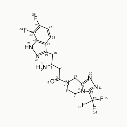 NC(CC(=O)N1CCn2c(nnc2C(F)(F)F)C1)Cc1n[nH]c2c(F)c(F)ccc12